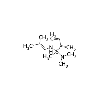 C=CC(=C)S(C)(NC=C(C)C)N(C)C